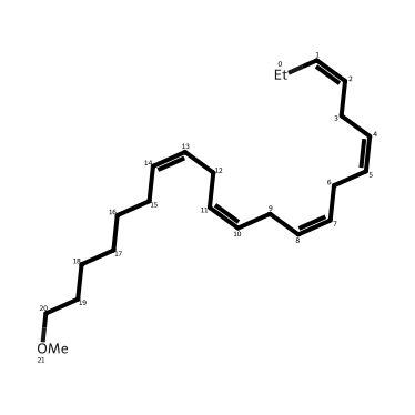 CC/C=C\C/C=C\C/C=C\C/C=C\C/C=C\CCCCCCOC